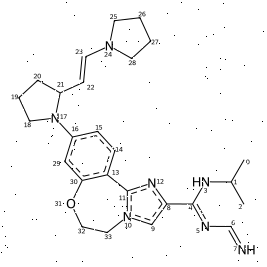 CC(C)N/C(=N\C=N)c1cn2c(n1)-c1ccc(N3CCCC3/C=C/N3CCCC3)cc1OCC2